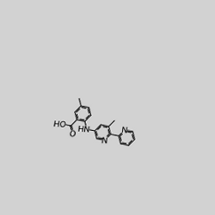 Cc1ccc(Nc2cnc(-c3ccccn3)c(C)c2)c(C(=O)O)c1